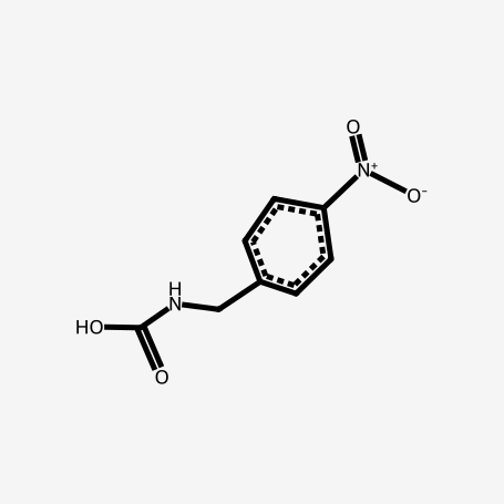 O=C(O)NCc1ccc([N+](=O)[O-])cc1